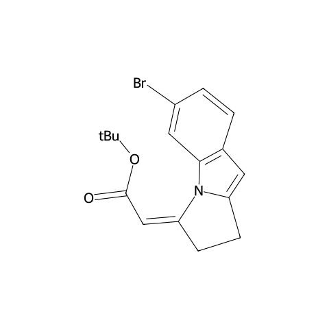 CC(C)(C)OC(=O)C=C1CCc2cc3ccc(Br)cc3n21